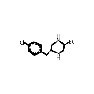 CC[C@H]1CN[C@@H](Cc2ccc(Cl)cc2)CN1